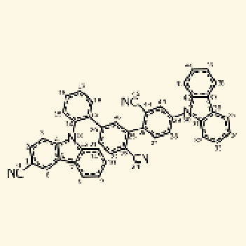 N#Cc1ccc2c(c1)c1ccccc1n2-c1ccccc1-c1ccc(C#N)c(-c2ccc(-n3c4ccccc4c4ccccc43)cc2C#N)c1